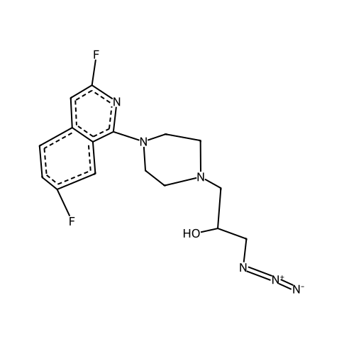 [N-]=[N+]=NCC(O)CN1CCN(c2nc(F)cc3ccc(F)cc23)CC1